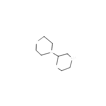 [CH]1NCCOC1N1CCOCC1